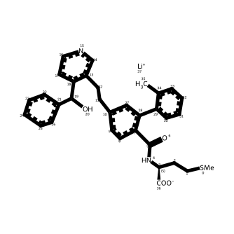 CSCC[C@H](NC(=O)c1ccc(CCc2cnccc2C(O)c2ccccc2)cc1-c1ccccc1C)C(=O)[O-].[Li+]